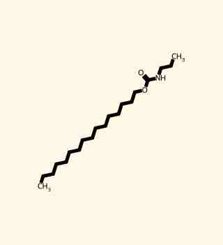 CCCCCCCCCCCCCCCCOC(=O)NCCC